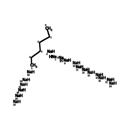 CCCCCC.[NaH].[NaH].[NaH].[NaH].[NaH].[NaH].[NaH].[NaH].[NaH].[NaH].[NaH].[NaH].[NaH].[NaH].[NaH].[NaH].[NaH].[NaH]